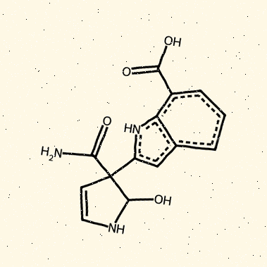 NC(=O)C1(c2cc3cccc(C(=O)O)c3[nH]2)C=CNC1O